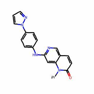 CC(C)n1c(=O)ccc2cnc(Nc3ccc(-n4cccn4)cc3)cc21